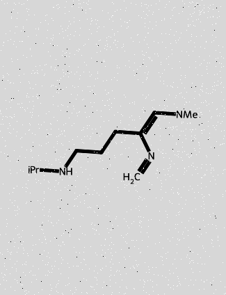 C=N/C(=C\NC)CCCNC(C)C